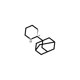 C1CC[C@H](C23CC4CC(CC(C4)C2)C3)NC1